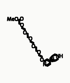 COC(=O)COCCOCCOCCOCCOCCOc1cc(N2C3CCC2CNC3)ccn1